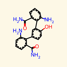 NC(=O)c1cccc(N)c1-c1ccc(O)c(-c2c(N)cccc2C(N)=O)c1